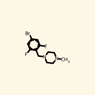 CN1CCN(Cc2c(F)cc(Br)cc2F)CC1